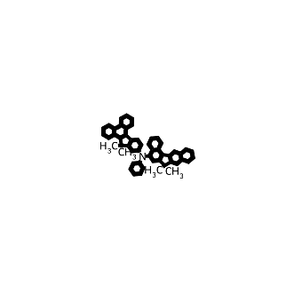 CC1(C)c2cc3ccccc3cc2-c2c1cc(N(c1ccccc1)c1ccc3c(c1)C(C)(C)c1c-3c3ccccc3c3ccccc13)c1ccccc21